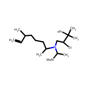 C=CC(C)CCCC(C)N(CC(CC)C(C)(C)CCC)C(C)NC